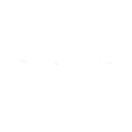 C[Si](C)(C)CCOCn1ccc2c(N)cccc21